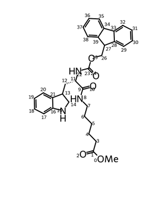 COC(=O)CCCCCNC(=O)[C@H](CC1CNc2ccccc21)NC(=O)OCC1c2ccccc2-c2ccccc21